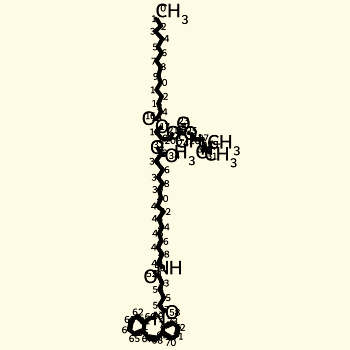 CCCCCCCCCCCCCCCC(=O)OCC(COP(=O)(O)OCC[N+](C)(C)C)OC(=O)CCCCCCCCCCCCCCCNC(=O)CCCCC(=O)N1Cc2ccccc2C#Cc2ccccc21